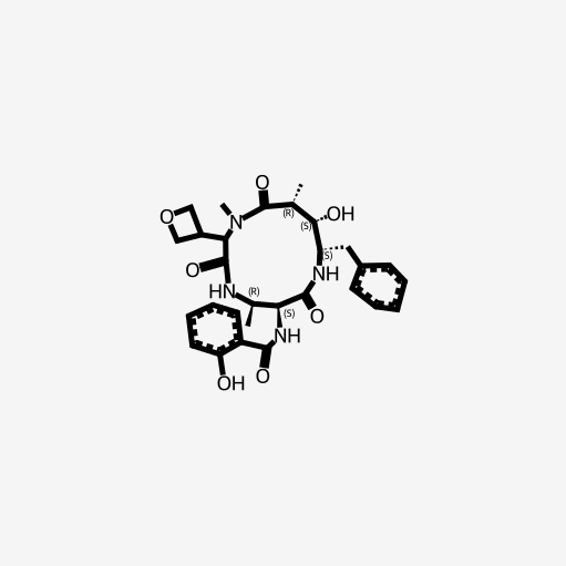 C[C@H]1NC(=O)C(C2COC2)N(C)C(=O)[C@H](C)[C@H](O)[C@H](Cc2ccccc2)NC(=O)[C@H]1NC(=O)c1ccccc1O